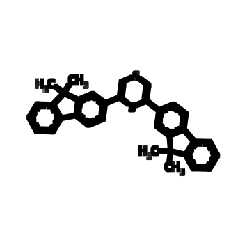 CC1(C)c2ccccc2-c2ccc(C3=CSC=C(c4ccc5c(c4)C(C)(C)c4ccccc4-5)S3)cc21